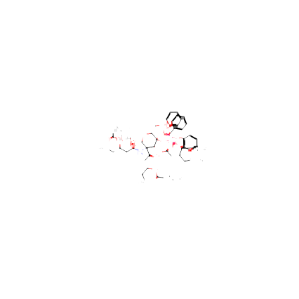 CCCCCCCCCCC[C@H](CC(=O)N[C@@]1(C(=O)C[C@@H](CCCCCCCCCCC)OC(=O)CCCCCCCCC)[C@H](OCCCC)O[C@H](CO)[C@@](OCc2ccccc2)(OP(=O)(Oc2ccccc2)Oc2ccccc2)[C@@H]1OC(=O)C[C@@H](CCCCCCCCCCC)C(=O)CCCCCCCCC)OC(=O)CCCCCCCCC